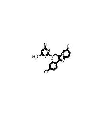 Cc1cc(Cl)nc(NCc2c(-c3ccc(Cl)cc3)nc3ccc(Cl)cn23)n1